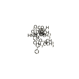 CC(C)(C)[Si](O[C@@H]1[C@@H](C(=O)O)OC[C@H]1Oc1nc2nc(C(OCC[Si](C)(C)C)c3ccc(-c4ccccc4)cc3)c(Cl)cc2[nH]1)(O[Si](C)(C)C)C(C)(C)C